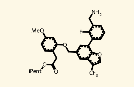 CCCC(C)OC(=O)Cc1ccc(OC)cc1OCc1cc(-c2cccc(CN)c2F)c2occ(C(F)(F)F)c2c1